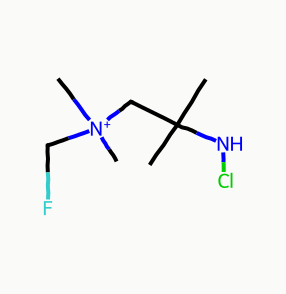 CC(C)(C[N+](C)(C)CF)NCl